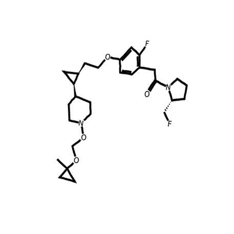 CC1(OCON2CCC([C@H]3C[C@H]3CCOc3ccc(CC(=O)N4CCC[C@@H]4CF)c(F)c3)CC2)CC1